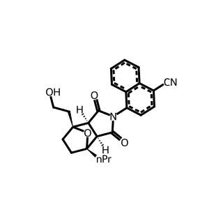 CCC[C@@]12CC[C@@](CCO)(O1)[C@H]1C(=O)N(c3ccc(C#N)c4ccccc34)C(=O)[C@H]12